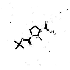 C[C@@H]1[C@@H](C(N)=O)CCN1C(=O)OC(C)(C)C